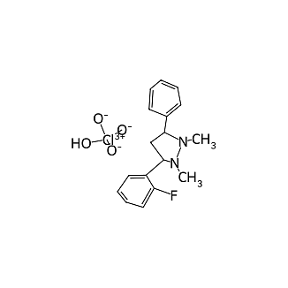 CN1C(c2ccccc2)CC(c2ccccc2F)N1C.[O-][Cl+3]([O-])([O-])O